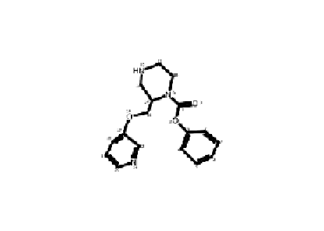 O=C(Oc1ccccc1)N1CCNCC1COc1cccnc1